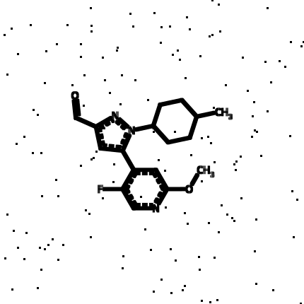 COc1cc(-c2cc(C=O)nn2[C]2CCC(C)CC2)c(F)cn1